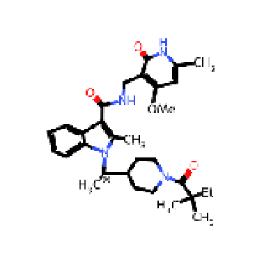 CCC(C)(C)C(=O)N1CCC([C@@H](C)n2c(C)c(C(=O)NCc3c(OC)cc(C)[nH]c3=O)c3ccccc32)CC1